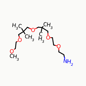 COCCOCC(C)(C)COCC(C)(C)COCCOCCN